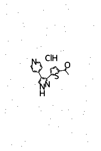 CC(=O)c1ccc(-c2n[nH]cc2-c2ccncc2)s1.Cl